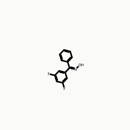 O/N=C(\c1ccccc1)c1cc(F)cc(F)c1